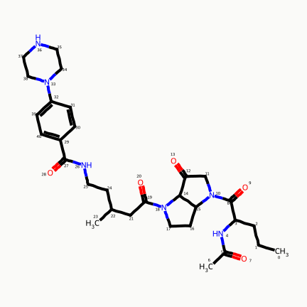 CCCC(NC(C)=O)C(=O)N1CC(=O)C2C1CCN2C(=O)CC(C)CCNC(=O)c1ccc(N2CCNCC2)cc1